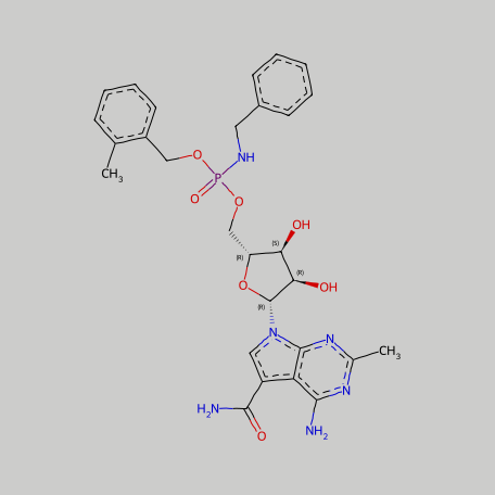 Cc1nc(N)c2c(C(N)=O)cn([C@@H]3O[C@H](COP(=O)(NCc4ccccc4)OCc4ccccc4C)[C@@H](O)[C@H]3O)c2n1